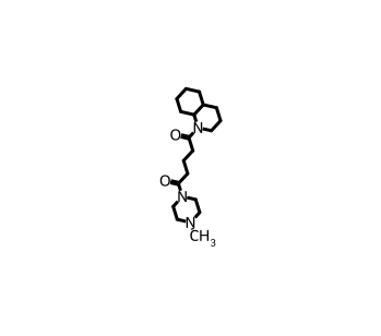 CN1CCN(C(=O)CCCC(=O)N2CCCC3CCCCC32)CC1